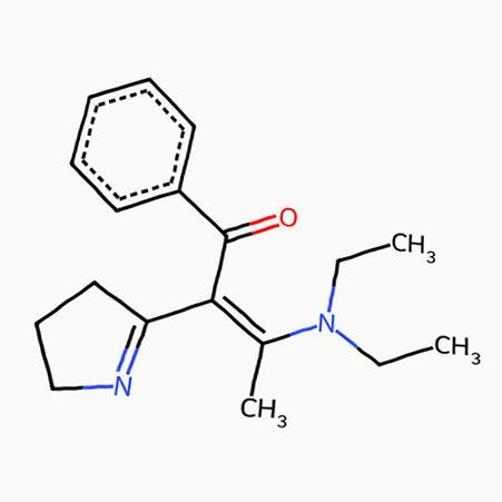 CCN(CC)C(C)=C(C(=O)c1ccccc1)C1=NCCC1